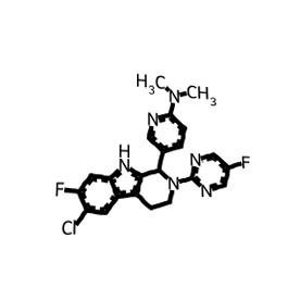 CN(C)c1ccc(C2c3[nH]c4cc(F)c(Cl)cc4c3CCN2c2ncc(F)cn2)cn1